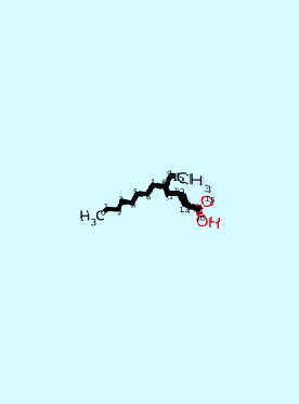 CCCCCCCCC(CC)CC=CC(=O)O